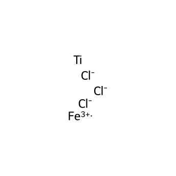 [Cl-].[Cl-].[Cl-].[Fe+3].[Ti]